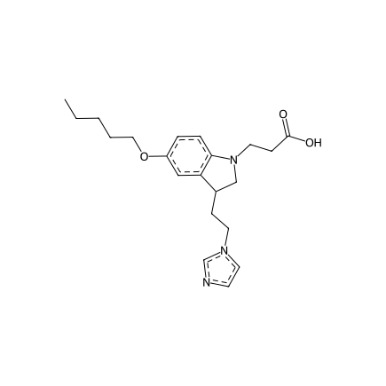 CCCCCOc1ccc2c(c1)C(CCn1ccnc1)CN2CCC(=O)O